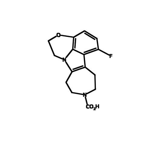 O=C(O)N1CCc2c(n3c4c(ccc(F)c24)OCC3)CC1